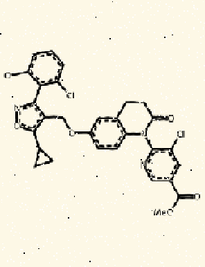 COC(=O)c1cnc(N2C(=O)CCc3cc(OCc4c(-c5c(Cl)cccc5Cl)noc4C4CC4)ccc32)c(Cl)c1